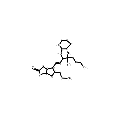 CCCCC(C)(C)C(/C=C/C1C(COC)CC2OC(=O)CC21)OC1CCCCO1